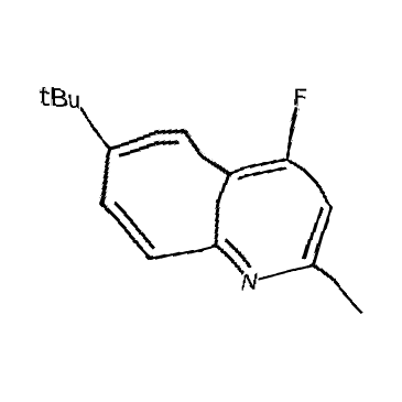 Cc1cc(F)c2cc(C(C)(C)C)ccc2n1